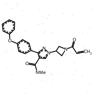 C=CC(=O)N1CC(n2cc(C(=O)NC)c(-c3ccc(Oc4ccccc4)cc3)n2)C1